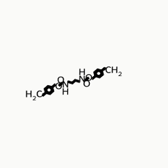 C=Cc1ccc(COC(=O)NCCCCNC(=O)OCc2ccc(C=C)cc2)cc1